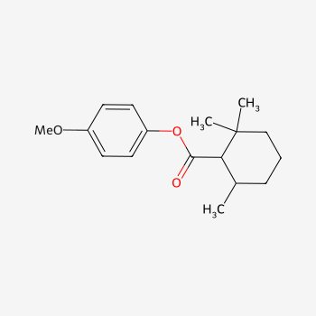 COc1ccc(OC(=O)C2C(C)CCCC2(C)C)cc1